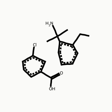 CCc1ccccc1C(C)(C)N.O=C(O)c1cccc(Cl)c1